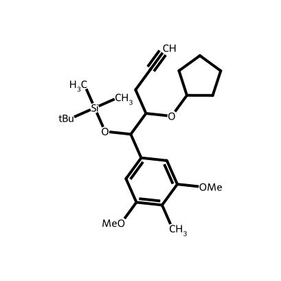 C#CCC(OC1CCCC1)C(O[Si](C)(C)C(C)(C)C)c1cc(OC)c(C)c(OC)c1